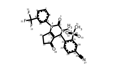 CN1C(=O)N(c2cccc(C(F)(F)F)c2)C2=C(C(=O)CC2)C1c1ccc(C#N)cc1S(C)(=O)=O